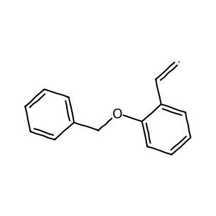 [CH]=Cc1ccccc1OCc1ccccc1